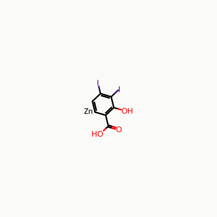 O=C(O)c1ccc(I)c(I)c1O.[Zn]